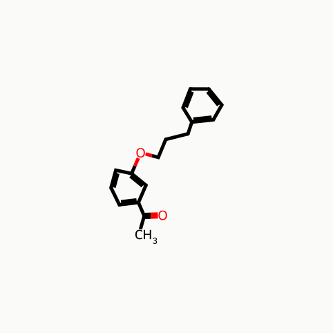 CC(=O)c1cccc(OCCCc2ccccc2)c1